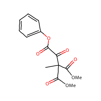 COC(=O)C(C)(C(=O)OC)C(=O)C(=O)Oc1ccccc1